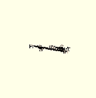 CC(C)CCCCOC(=O)CCCCCCCCCCCCCCCCC(C(C)C)C(C(=O)OCCCCC(C)C)C(C)C